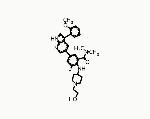 COc1ccccc1-c1c[nH]c2ncc(-c3cc(F)c(NC4CCN(CCO)CC4)c(C(=O)N(C)C)c3)cc12